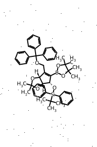 CC1(C)O[C@@H]2[C@H](O1)C(COC(c1ccccc1)(c1ccccc1)c1ccccc1)=C(B1OC(C)(C)C(C)(C)O1)[C@@H]2O[Si](c1ccccc1)(c1ccccc1)C(C)(C)C